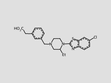 CCC1CN(Cc2cccc(CC(=O)O)c2)CCN1c1nc2ccc(Cl)cc2s1